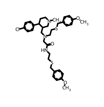 COc1ccc(CSCCNC(=O)CN(CCSCc2ccc(OC)cc2)CC2CN(C)CCC2c2ccc(Cl)cc2)cc1